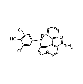 NC(=O)c1cnn2ccc3c2c1-c1ccccc1N=C3c1cc(Cl)c(O)c(Cl)c1